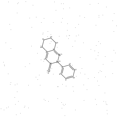 O=c1cc2c(nn1-c1ccccc1)CCCC2